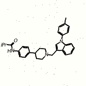 Cc1ccc(-n2cc(CN3CCC(c4ccc(NC(=O)C(C)C)cc4)CC3)c3ccccc32)cc1